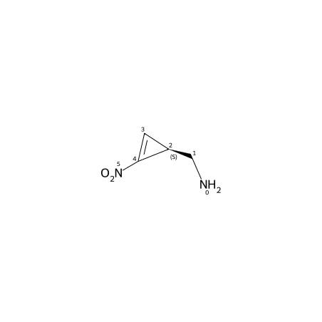 NC[C@@H]1C=C1[N+](=O)[O-]